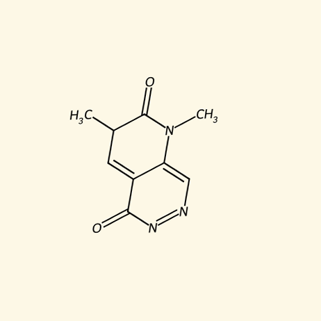 CC1C=C2C(=O)N=NC=C2N(C)C1=O